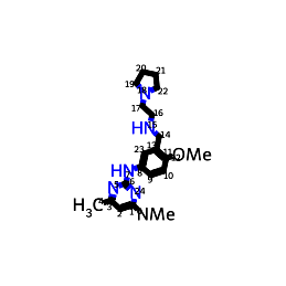 CNc1cc(C)nc(Nc2ccc(OC)c(CNCCN3CCCC3)c2)n1